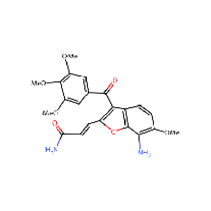 COc1cc(C(=O)c2c(/C=C/C(N)=O)oc3c(N)c(OC)ccc23)cc(OC)c1OC